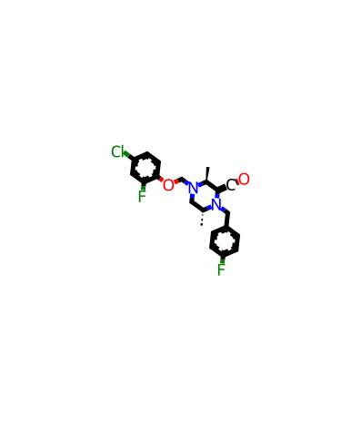 C[C@@H]1CN(COc2ccc(Cl)cc2F)[C@@H](C)C(=C=O)N1Cc1ccc(F)cc1